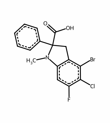 CN1c2cc(F)c(Cl)c(Br)c2CC1(C(=O)O)c1ccccc1